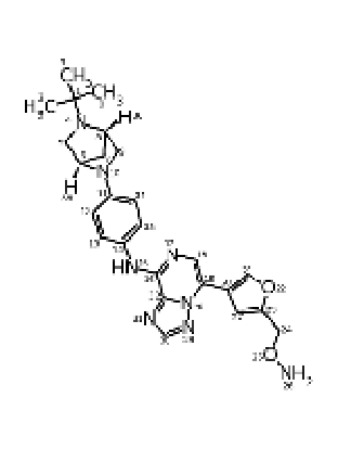 CC(C)(C)N1C[C@@H]2C[C@H]1CN2c1ccc(Nc2ncc(-c3coc(CON)c3)n3ncnc23)cc1